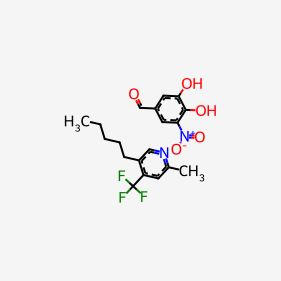 CCCCCc1cnc(C)cc1C(F)(F)F.O=Cc1cc(O)c(O)c([N+](=O)[O-])c1